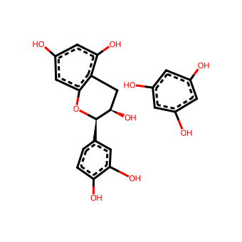 Oc1cc(O)c2c(c1)O[C@H](c1ccc(O)c(O)c1)[C@H](O)C2.Oc1cc(O)cc(O)c1